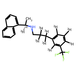 [2H]c1c([2H])c(C(F)(F)F)c([2H])c(C([2H])([2H])C([2H])([2H])CN[C@]([2H])(C)c2cccc3ccccc23)c1[2H]